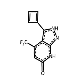 O=c1cc(C(F)(F)F)c2c(C3=CC=C3)[nH]nc2[nH]1